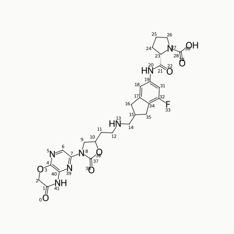 O=C1COc2ncc(N3CC(CCNCC4Cc5cc(NC(=O)[C@@H]6CCCN6C(=O)O)cc(F)c5C4)OC3=O)nc2N1